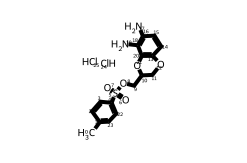 Cc1ccc(S(=O)(=O)OCC2COc3ccc(N)c(N)c3O2)cc1.Cl.Cl